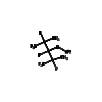 CCCOC(F)(C(C)(F)C(F)(F)F)C(C)(F)C(F)(F)F